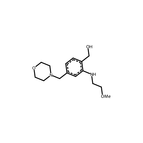 COCCNc1cc(CN2CCOCC2)ccc1CO